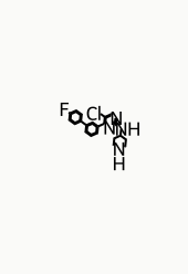 Fc1ccc(-c2cccc(-c3nc(NC4CCNCC4)ncc3Cl)c2)cc1